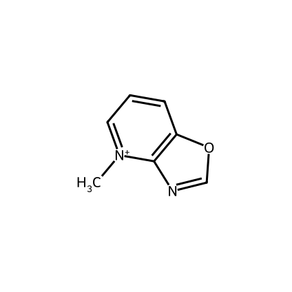 C[n+]1cccc2ocnc21